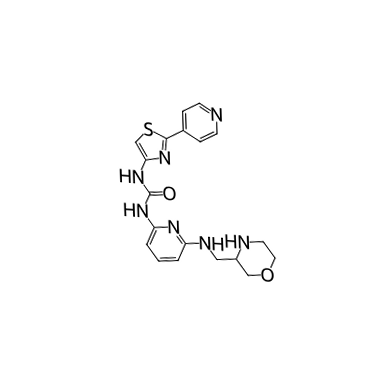 O=C(Nc1cccc(NCC2COCCN2)n1)Nc1csc(-c2ccncc2)n1